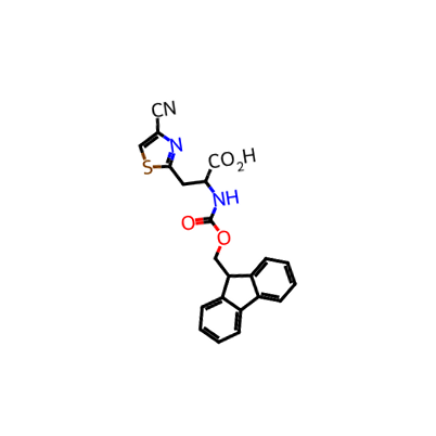 N#Cc1csc(CC(NC(=O)OCC2c3ccccc3-c3ccccc32)C(=O)O)n1